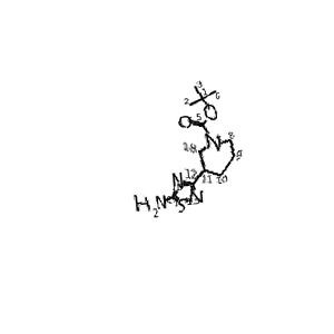 CC(C)(C)OC(=O)N1CCCC(c2nsc(N)n2)C1